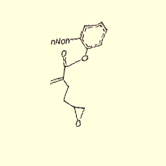 C=C(CCC1CO1)C(=O)Oc1ccccc1CCCCCCCCC